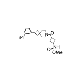 COC(=O)NC1CC(C(=O)N2CCC3(CC2)CC(c2cccc(C(C)C)c2)C3)C1